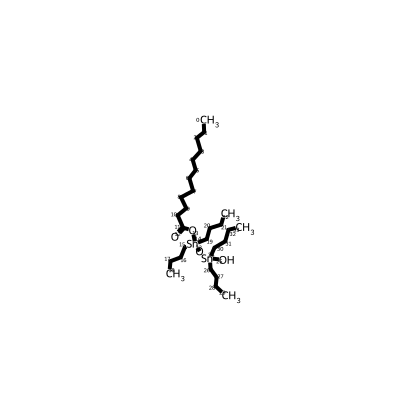 CCCCCCCCCCCC(=O)[O][Sn]([CH2]CCC)([CH2]CCC)[O][Sn]([OH])([CH2]CCC)[CH2]CCC